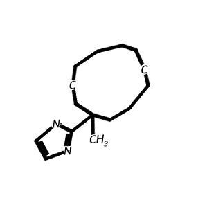 CC1(C2=NC=C[N]2)CCCCCCCCCC1